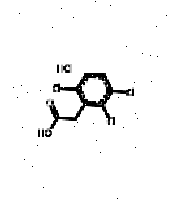 Cl.O=C(O)Cc1c(Cl)ccc(Cl)c1Cl